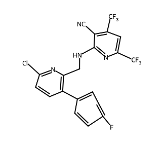 N#Cc1c(C(F)(F)F)cc(C(F)(F)F)nc1NCc1nc(Cl)ccc1-c1ccc(F)cc1